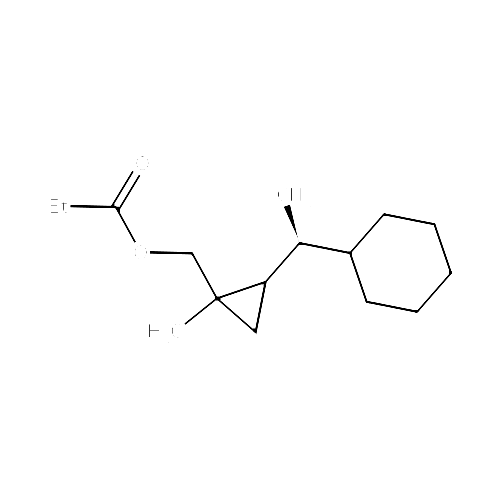 CCC(=O)OCC1(C)CC1[C@@H](C)C1CCCCC1